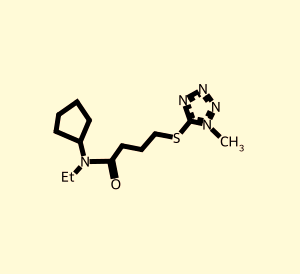 CCN(C(=O)CCCSc1nnnn1C)C1CCCC1